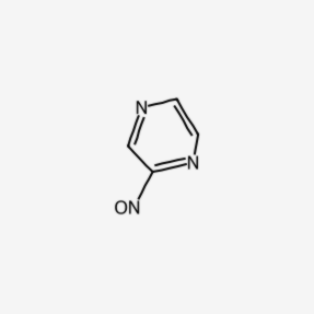 O=Nc1cnccn1